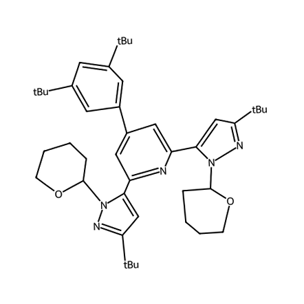 CC(C)(C)c1cc(-c2cc(-c3cc(C(C)(C)C)nn3C3CCCCO3)nc(-c3cc(C(C)(C)C)nn3C3CCCCO3)c2)cc(C(C)(C)C)c1